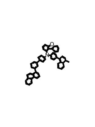 CC1C=CC(c2ccc(N(c3ccc(-c4cccc(-c5cccc6c5ccc5ccccc56)c4)cc3)c3cccc4oc5ccccc5c34)cc2)=C2C=CC=CC21